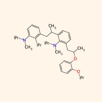 CC(C)Oc1ccccc1OC(C)Cc1cccc(C(C)Cc2cccc(N(C)C(C)C)c2C(C)C)c1N(C)C(C)C